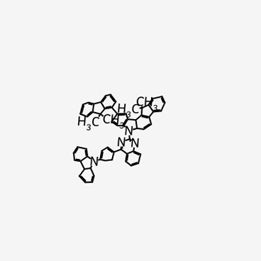 CC1(C)C2=C(C=CC3C2c2cc(-c4cccc5c4C(C)(C)c4ccccc4-5)ccc2N3c2nc(C3=CC=C(N4c5ccccc5C5C=CC=CC54)CC3)c3ccccc3n2)c2ccccc21